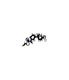 CCOC(=O)/C(C)=C1\CCC[C@@H](c2ccc(OC)nc2)C1